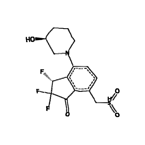 O=C1c2c(C[SH](=O)=O)ccc(N3CCC[C@H](O)C3)c2[C@@H](F)C1(F)F